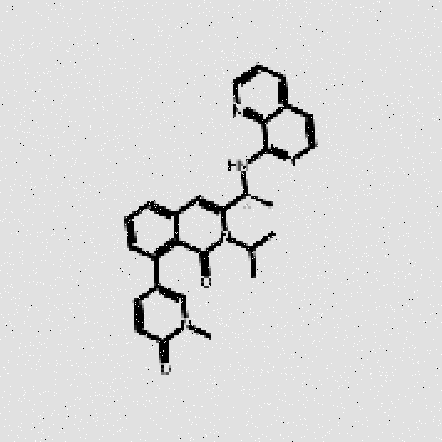 CC(C)n1c([C@H](C)Nc2nccc3cccnc23)cc2cccc(-c3ccc(=O)n(C)c3)c2c1=O